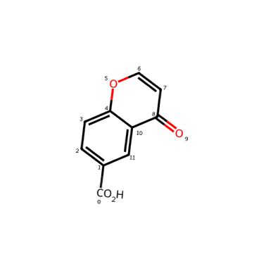 O=C(O)c1ccc2occc(=O)c2c1